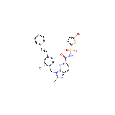 Cc1nc2ccc(C(=O)NS(=O)(=O)c3ccc(Br)s3)nc2n1Cc1ccc(/C=C/c2ccccc2)cc1Cl